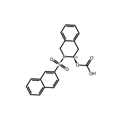 O=C(O)O[C@@H]1Cc2ccccc2CN1S(=O)(=O)c1ccc2ccccc2c1